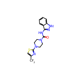 O=C(Nc1n[nH]c2ccccc12)N1CCN(c2nc(C(F)(F)F)cs2)CC1